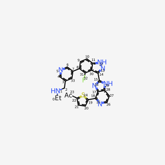 CCNCc1cncc(-c2ccc3[nH]nc(-c4nc5c(-c6ccc(C(C)=O)s6)nccc5[nH]4)c3c2F)c1